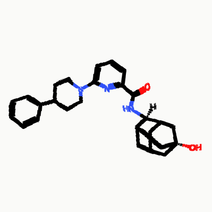 O=C(N[C@H]1C2CC3CC1C[C@](O)(C3)C2)c1cccc(N2CCC(c3ccccc3)CC2)n1